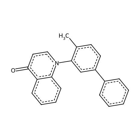 Cc1ccc(-c2ccccc2)cc1-n1ccc(=O)c2ccccc21